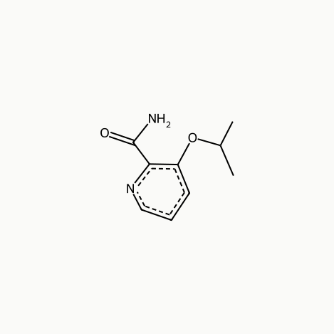 CC(C)Oc1cccnc1C(N)=O